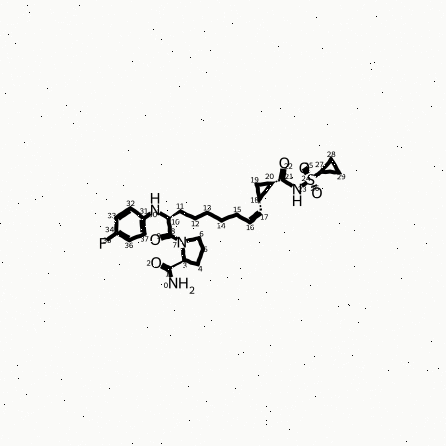 NC(=O)[C@@H]1CCCN1C(=O)[C@H](CCCCC/C=C\[C@@H]1C[C@@H]1C(=O)NS(=O)(=O)C1CC1)Nc1ccc(F)cc1